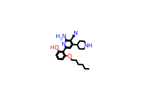 CCCCCCOc1cccc(O)c1-c1cc(C2CCNCC2)c(C#N)c(N)n1